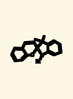 CCN1c2ccccc2C(C)(C)C12C=Cc1ccccc1O2